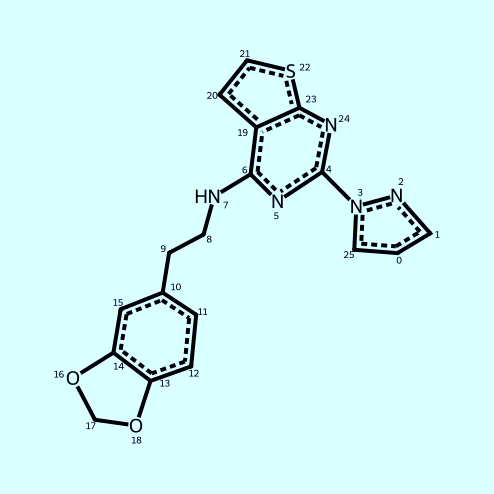 c1cnn(-c2nc(NCCc3ccc4c(c3)OCO4)c3ccsc3n2)c1